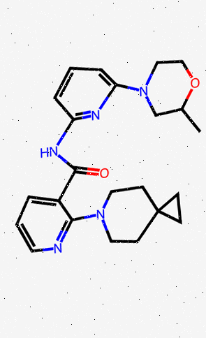 CC1CN(c2cccc(NC(=O)c3cccnc3N3CCC4(CC3)CC4)n2)CCO1